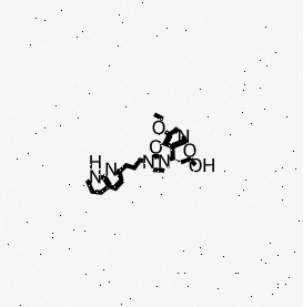 CCOc1cncc([C@H](CC(=O)O)N2CCN(CCCc3ccc4c(n3)NCCC4)C2=O)c1